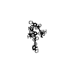 Cc1c(Cl)cccc1OCCOC(=O)N1C[C@@H]2C[C@@H]2c2c(-c3cnn(Cc4cc(C(=O)NCCNS(=O)(=O)C5CC5)ccc4Cl)c3)cccc21